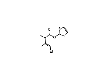 CCC=C(C)C(C)C(=O)OC1SC=CS1